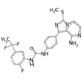 CSc1nc(-c2ccc(NC(=O)Nc3cc(C(C)(F)F)ccc3F)cc2)c2c(N)nccn12